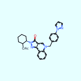 CC(=O)OC1CCCC[C@H]1n1nc2c3ccccc3n(Cc3ccc(-n4cccn4)cc3)cc-2c1=O